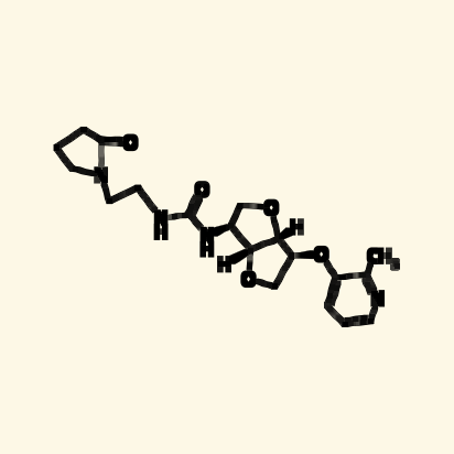 Cc1ncccc1O[C@H]1CO[C@H]2[C@@H]1OC[C@@H]2NC(=O)NCCN1CCCC1=O